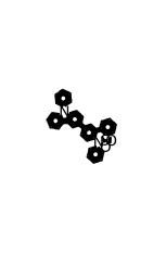 O=S1(=O)c2ccccc2-c2cc(-c3ccc4c(c3)c3ccccc3n4-c3ccccc3)ccc2N1c1ccccc1